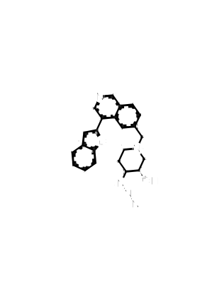 [N-]=[N+]=NC1CCN(Cc2ccc3cncc(-c4cc5ccccc5o4)c3c2)C[C@H]1O